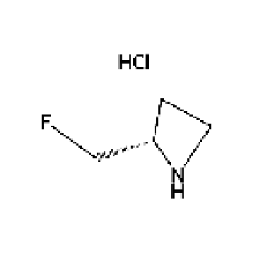 Cl.FC[C@@H]1CCN1